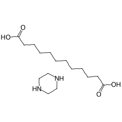 C1CNCCN1.O=C(O)CCCCCCCCCCC(=O)O